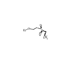 [CH2]COCCS(=O)(=O)C=C